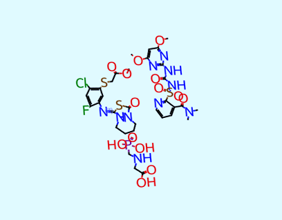 COC(=O)CSc1cc(/N=c2\sc(=O)n3n2CCCC3)c(F)cc1Cl.COc1cc(OC)nc(NC(=O)NS(=O)(=O)c2ncccc2C(=O)N(C)C)n1.O=C(O)CNCP(=O)(O)O